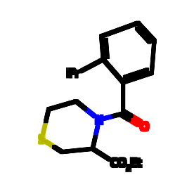 CCOC(=O)C1CSCCN1C(=O)c1ccccc1C(C)C